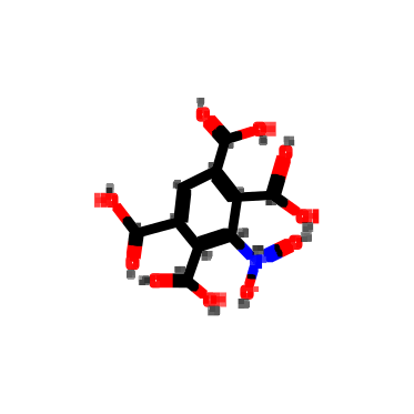 O=C(O)c1cc(C(=O)O)c(C(=O)O)c([N+](=O)[O-])c1C(=O)O